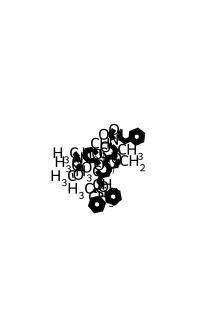 C=CC[C@@H](CC(C)CO[Si](c1ccccc1)(c1ccccc1)C(C)(C)C)[C@H](OC1OC(C)CC(N(C)C)C1OC(=O)OC)[C@@H](C)C(=O)[C@@H](C)C(=O)N1C(=O)OCC1Cc1ccccc1